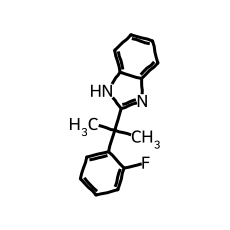 CC(C)(c1nc2ccccc2[nH]1)c1ccccc1F